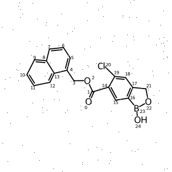 O=C(OCc1cccc2ccccc12)c1cc2c(cc1Cl)COB2O